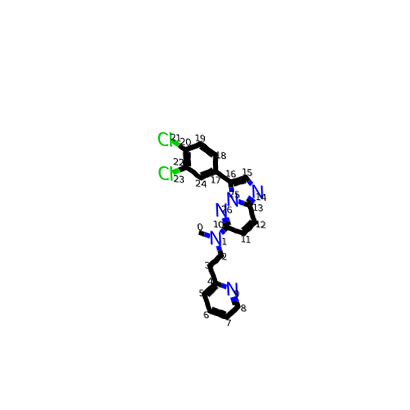 CN(CCc1ccccn1)c1ccc2ncc(-c3ccc(Cl)c(Cl)c3)n2n1